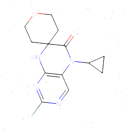 O=C1N(C2CC2)c2cnc(Cl)nc2NC12CCOCC2